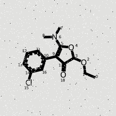 CCOC1OC(N(C)C)=C(c2cccc(Cl)c2)C1=O